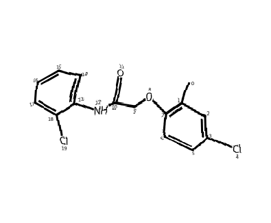 Cc1cc(Cl)ccc1OCC(=O)Nc1ccccc1Cl